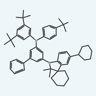 CC(C)(C)c1ccc(N(c2cc(-c3ccccc3)cc(N3c4ccc(C5CCCCC5)cc4C4(CCCCC4)C3(C)C)c2)c2cc(C(C)(C)C)cc(C(C)(C)C)c2)cc1